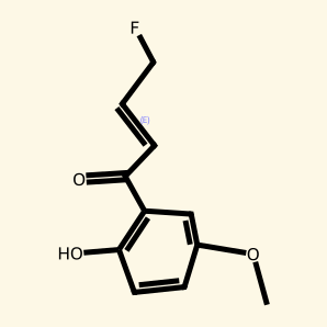 COc1ccc(O)c(C(=O)/C=C/CF)c1